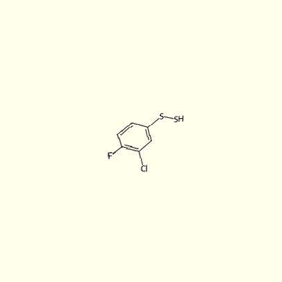 Fc1ccc(SS)cc1Cl